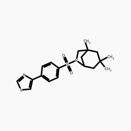 CC1(C)CC2CC(C)(CN2S(=O)(=O)c2ccc(-c3cscn3)cc2)C1